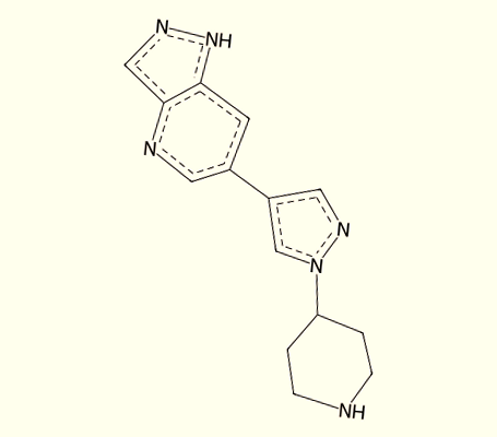 c1nc2cn[nH]c2cc1-c1cnn(C2CCNCC2)c1